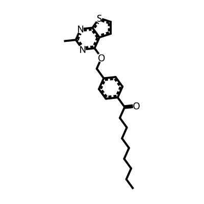 CCCCCCCCC(=O)c1ccc(COc2nc(C)nc3sccc23)cc1